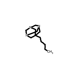 CCCCCC12CN3CN(CN(C3)C1)C2